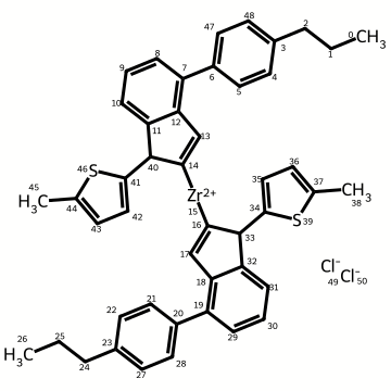 CCCc1ccc(-c2cccc3c2C=[C]([Zr+2][C]2=Cc4c(-c5ccc(CCC)cc5)cccc4C2c2ccc(C)s2)C3c2ccc(C)s2)cc1.[Cl-].[Cl-]